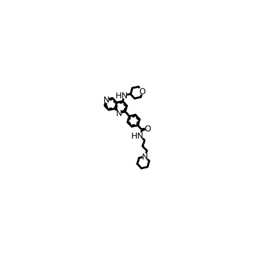 O=C(NCCCN1CCCCC1)c1ccc(-c2cc(NC3CCOCC3)c3cnccc3n2)cc1